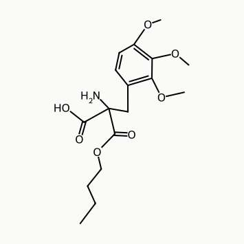 CCCCOC(=O)C(N)(Cc1ccc(OC)c(OC)c1OC)C(=O)O